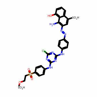 Nc1c(N=Nc2ccc(Nc3nc(Cl)nc(Nc4ccc(S(=O)(=O)CCOS(=O)(=O)O)cc4)n3)cc2)cc(S(=O)(=O)O)c2cccc(O)c12